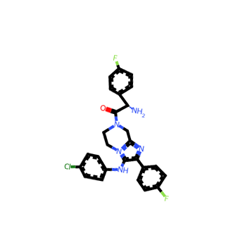 N[C@H](C(=O)N1CCn2c(nc(-c3ccc(F)cc3)c2Nc2ccc(Cl)cc2)C1)c1ccc(F)cc1